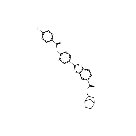 O=C(Nc1ccc(-c2nc3cc(C(=O)NC4CC5CCC4C5)ccc3[nH]2)cc1)c1ccc(F)cc1